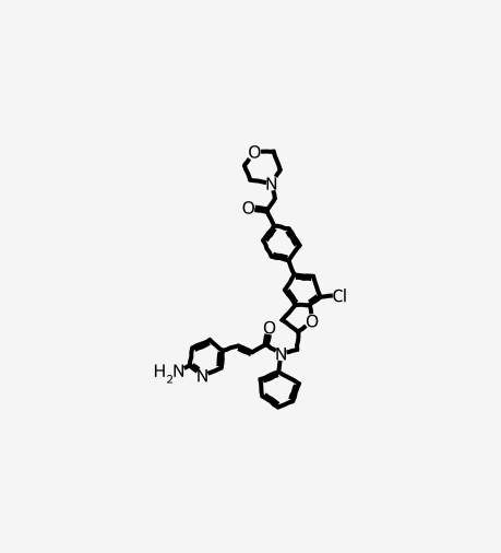 Nc1ccc(C=CC(=O)N(CC2Cc3cc(-c4ccc(C(=O)CN5CCOCC5)cc4)cc(Cl)c3O2)c2ccccc2)cn1